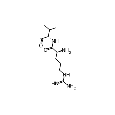 CC(C)[C@@H]([C]=O)NC(=O)[C@@H](N)CCCNC(=N)N